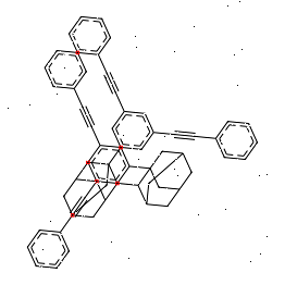 C(#Cc1cc(C#Cc2ccccc2)cc(C23CC4CC(CC(C4)C2C2C4CC5CC(C4)CC2(c2cc(C#Cc4ccccc4)cc(C#Cc4ccccc4)c2)C5)C3)c1)c1ccccc1